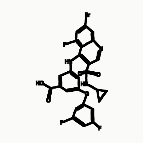 O=C(O)c1cc(Nc2c(S(=O)(=O)NC3CC3)cnc3cc(Br)cc(F)c23)cc(Oc2cc(F)cc(F)c2)c1